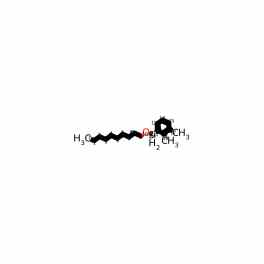 CCCCCCCCCCO[SiH2]c1cccc(C)c1C